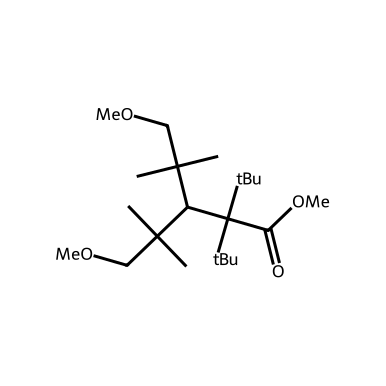 COCC(C)(C)C(C(C)(C)COC)C(C(=O)OC)(C(C)(C)C)C(C)(C)C